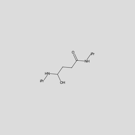 CC(C)NC(=O)CCC(O)NC(C)C